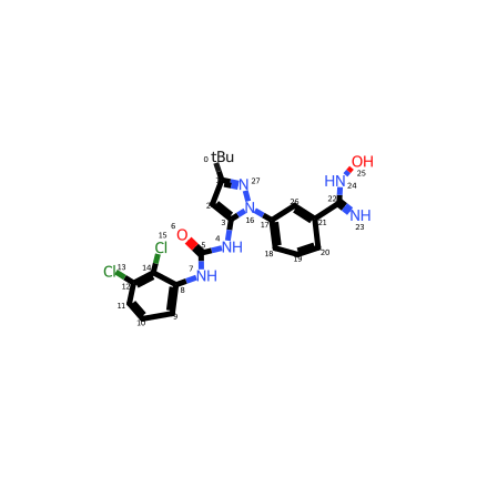 CC(C)(C)c1cc(NC(=O)Nc2cccc(Cl)c2Cl)n(-c2cccc(C(=N)NO)c2)n1